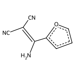 N#CC(C#N)=C(N)c1ccco1